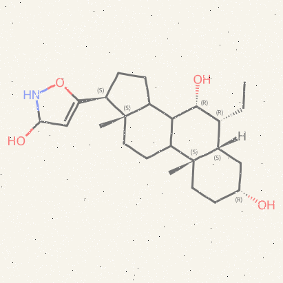 CC[C@H]1[C@@H](O)C2C3CC[C@H](C4=CC(O)NO4)[C@@]3(C)CCC2[C@@]2(C)CC[C@@H](O)C[C@@H]12